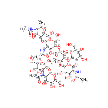 CC(=O)NC1C(O)[C@H](O)C(CO)O[C@H]1OC1C(O)[C@H](O)C(CO)O[C@@H]1OC1C(O)[C@H](O[C@@H]2C(CO)O[C@@H](O[C@@H]3C(CO)O[C@@H](C)C(NC(C)=O)C3O)C(NC(C)=O)C2O)OC(CO[C@H]2OC(CO)[C@@H](O)C(O)C2O[C@@H]2OC(CO)[C@@H](O)C(O)C2NC(C)=O)[C@H]1O